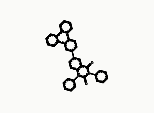 O=c1c2cc(-c3ccc4c5ccccc5c5ccccc5c4c3)ccc2n(-c2ccccc2)c(=O)n1-c1ccccc1